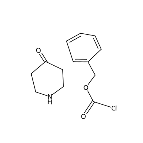 O=C(Cl)OCc1ccccc1.O=C1CCNCC1